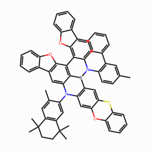 Cc1ccc(N2B3c4cc5c(cc4N(c4cc6c(cc4C)C(C)(C)CCC6(C)C)c4cc6c(oc7ccccc76)c(c43)-c3c2ccc2c3oc3ccccc32)Oc2ccccc2S5)c(-c2ccccc2)c1